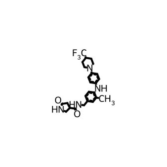 Cc1cc(CNC(=O)C2CNC(=O)C2)ccc1Nc1ccc(N2CCC(C(F)(F)F)CC2)cc1